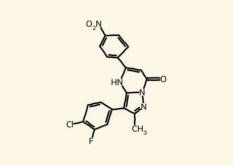 Cc1nn2c(=O)cc(-c3ccc([N+](=O)[O-])cc3)[nH]c2c1-c1ccc(Cl)c(F)c1